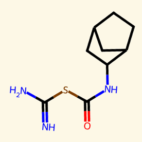 N=C(N)SC(=O)NC1CC2CCC1C2